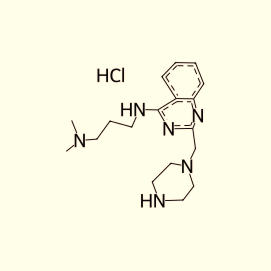 CN(C)CCCNc1nc(CN2CCNCC2)nc2ccccc12.Cl